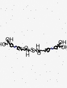 O=C(CCCC[n+]1ccc(/C=C/c2ccc(N(CCO)CCO)cc2)cc1)NCCSSCCNC(=O)CCC[n+]1ccc(/C=C/c2ccc(N(CCO)CCO)cc2)cc1